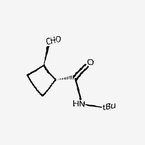 CC(C)(C)NC(=O)[C@@H]1CC[C@H]1C=O